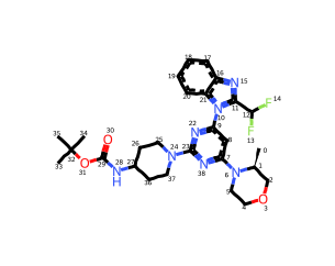 C[C@H]1COCCN1c1cc(-n2c(C(F)F)nc3ccccc32)nc(N2CCC(NC(=O)OC(C)(C)C)CC2)n1